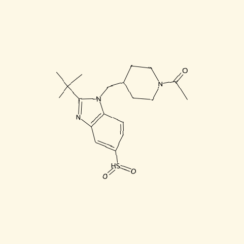 CC(=O)N1CCC(Cn2c(C(C)(C)C)nc3cc([SH](=O)=O)ccc32)CC1